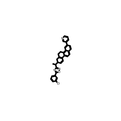 CC(c1noc(-c2cccc(Cl)c2)n1)C1C=CC2=C(CCc3c2ccc2ccc(-c4cccnc4)cc32)C1